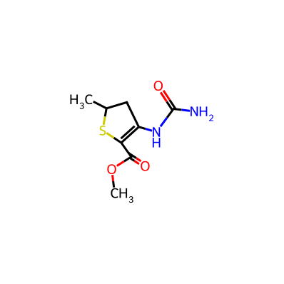 COC(=O)C1=C(NC(N)=O)CC(C)S1